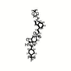 CC1(C)OC[C@H](Cn2ccc3c(C=CS(=O)(=O)N4CCC5(CC4)N=C(C4CCC(C(F)(F)F)CC4)NC5=O)cccc32)O1